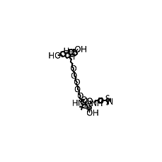 Cc1ncsc1-c1ccc(CNC(=O)[C@@H]2C[C@@H](O)CN2C(=O)[C@@H](NC(=O)COCCOCCOCCOCCOCCCCC2CC3=C(CCC(O)=C3)[C@H]3CCC4(C)[C@@H](O)CC[C@H]4[C@H]23)C(C)(C)C)cc1